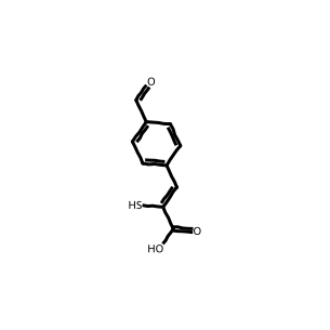 O=Cc1ccc(/C=C(\S)C(=O)O)cc1